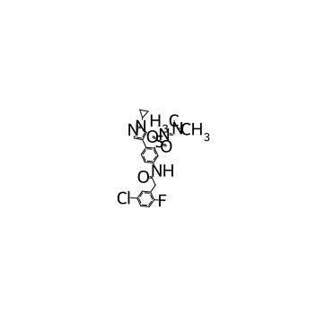 CN(C)C=NS(=O)(=O)c1cc(NC(=O)Cc2cc(Cl)ccc2F)ccc1-c1cnn(C2CC2)c1